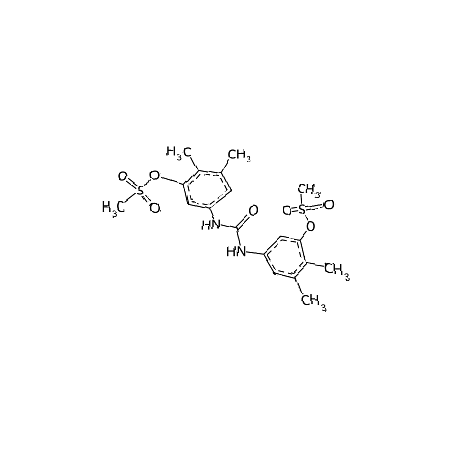 Cc1cc(NC(=O)Nc2cc(C)c(C)c(OS(C)(=O)=O)c2)cc(OS(C)(=O)=O)c1C